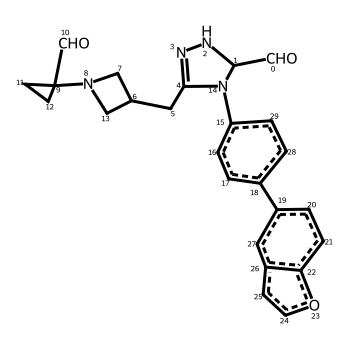 O=CC1NN=C(CC2CN(C3(C=O)CC3)C2)N1c1ccc(-c2ccc3occc3c2)cc1